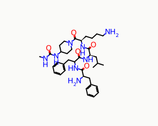 CNC(=O)NC1CCN(C(=O)[C@@H](CCCCN)NC(=O)[C@@H](CC(C)C)NC(=O)C(Cc2ccccc2)NC(=O)[C@H](N)Cc2ccccc2)CC1